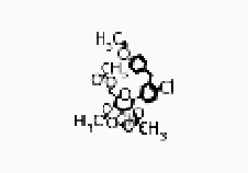 CCOc1ccc(Cc2cc([C@@H]3O[C@H](COC(C)=O)[C@@H](OC(C)=O)[C@H](C)[C@H]3OC(C)=O)ccc2Cl)cc1